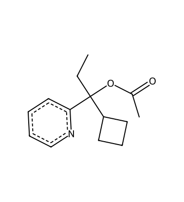 CCC(OC(C)=O)(c1ccccn1)C1CCC1